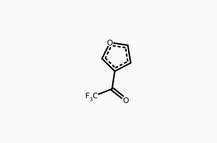 O=C(c1ccoc1)C(F)(F)F